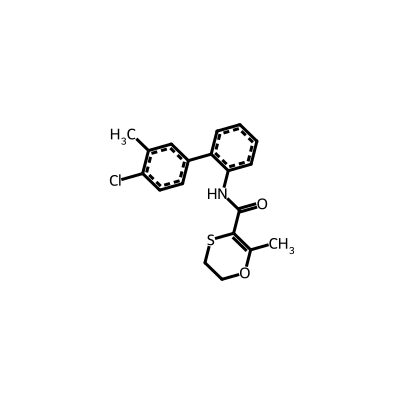 CC1=C(C(=O)Nc2ccccc2-c2ccc(Cl)c(C)c2)SCCO1